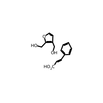 O=C(O)C=Cc1ccccc1.OCc1ccoc1CO